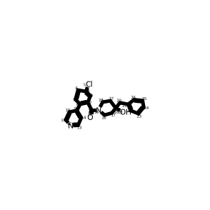 O=C(c1cc(Cl)ccc1-c1ccncc1)N1CCC(O)(Cc2ccccc2)CC1